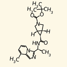 Cc1cccn2c([C@H](C)NC(=O)[C@H]3[C@@H]4CN(C(=O)OC(C)(C)C)C[C@@H]43)ncc12